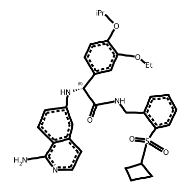 CCOc1cc([C@@H](Nc2ccc3c(N)nccc3c2)C(=O)NCc2ccccc2S(=O)(=O)C2CCC2)ccc1OC(C)C